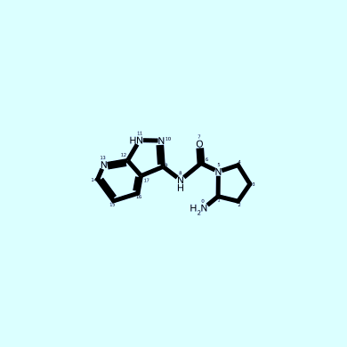 NC1CCCN1C(=O)Nc1n[nH]c2ncccc12